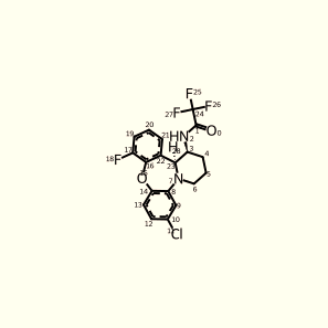 O=C(N[C@H]1CCCN2c3cc(Cl)ccc3Oc3c(F)cccc3[C@@H]12)C(F)(F)F